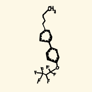 CCCCc1ccc(-c2ccc(OC(F)(F)C(F)C(F)(F)F)cc2)cc1